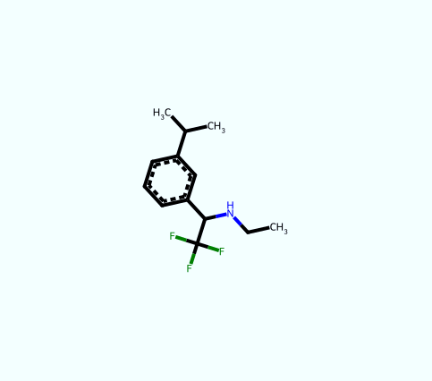 CCNC(c1cccc(C(C)C)c1)C(F)(F)F